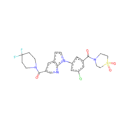 O=C(c1cnc2c(ccn2-c2cc(Cl)cc(C(=O)N3CCS(=O)(=O)CC3)c2)c1)N1CCC(F)(F)CC1